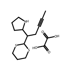 CC#CCC(C1CCCN1)C1SCCCS1.O=C(O)C(=O)O